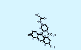 CC(C)(C)C(=O)Nc1ccc(C(=O)O)c(-c2c3ccc(=O)cc-3oc3cc(O)ccc23)c1